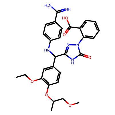 CCOc1cc(C(Nc2ccc(C(=N)N)cc2)c2nn(-c3ccccc3C(=O)O)c(=O)[nH]2)ccc1OC(C)COC